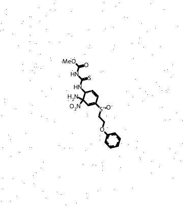 COC(=O)NC(=S)NC1C=CC([S+]([O-])CCOc2ccccc2)=CC1(N)[N+](=O)[O-]